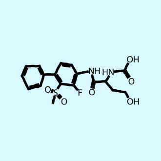 CS(=O)(=O)c1c(-c2ccccc2)ccc(NC(=O)C(CCO)NC(=O)O)c1F